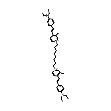 CCN(CC)c1ccc(/C=C/c2cc[n+](CCCCCCCC[n+]3ccc(/C=C/c4ccc(N(CC)CC)cc4)c(C)c3)cc2C)cc1